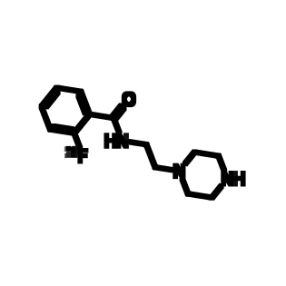 O=C(NCCN1CCNCC1)c1ccccc1[18F]